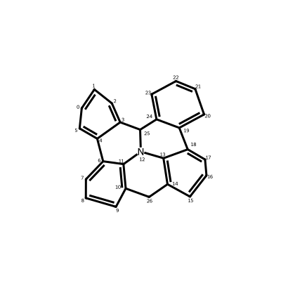 c1ccc2c(c1)-c1cccc3c1N1c4c(cccc4-c4ccccc4C21)C3